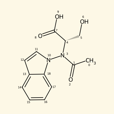 CC(=O)N([C@@H](CO)C(=O)O)n1ccc2ccccc21